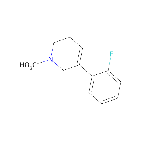 O=C(O)N1CCC=C(c2ccccc2F)C1